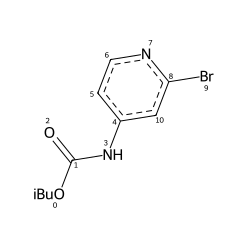 CC(C)COC(=O)Nc1ccnc(Br)c1